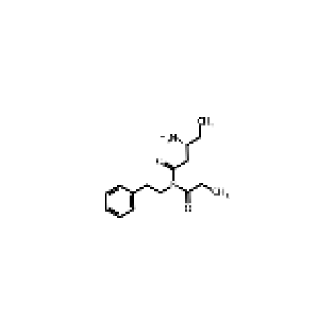 CCC(=O)N(CCc1ccccc1)C(=O)C[C@H](N)CC